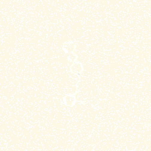 FC1(Cc2ccccc2)CCN(CCOc2ccccc2C(F)(F)F)CC1